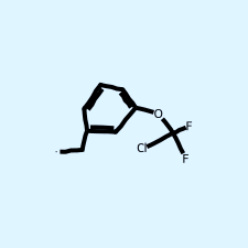 [CH2]Cc1cccc(OC(F)(F)Cl)c1